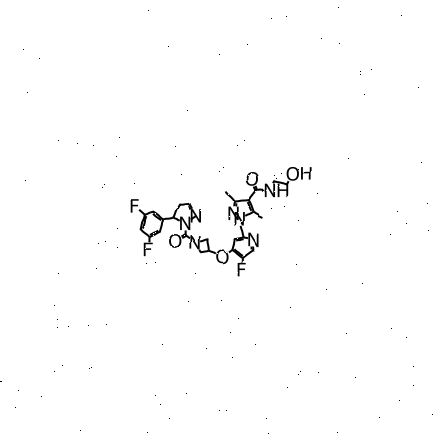 Cc1nn(-c2cc(OC3CN(C(=O)N4N=CCC4c4cc(F)cc(F)c4)C3)c(F)cn2)c(C)c1C(=O)NCCO